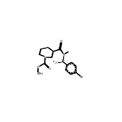 CN(C(=O)C1CCCN(C(=O)OC(C)(C)C)C1)[C@@H](c1ccc(Br)cc1)C(F)(F)F